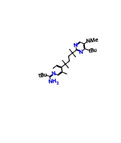 C\C=C(/C(C)=C\N=C(/N)C(C)(C)C)C(C)(C)CCC(C)(C)c1ncc(NC)c(C(C)(C)C)n1